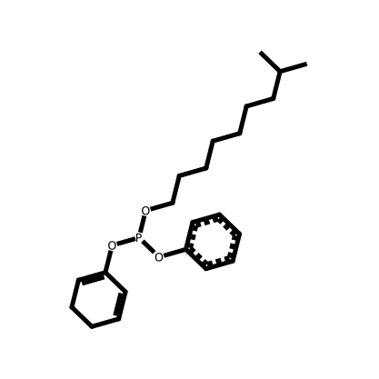 CC(C)CCCCCCCOP(OC1=CCCC=C1)Oc1ccccc1